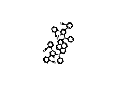 N#Cc1ccccc1-c1cc(-c2ccccc2C#N)c(F)c(N(c2ccccc2)c2ccc3ccc4c(N(c5ccccc5)c5cc(-c6ccccc6C#N)cc(-c6ccccc6C#N)c5F)ccc5ccc2c3c54)c1